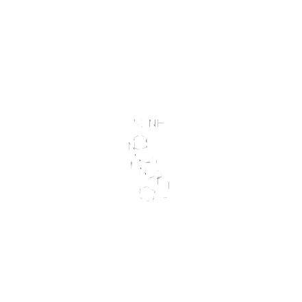 CCCCNC(=O)c1ccc(N2C=CCN(C(=O)c3ccccc3C(F)(F)F)C2=O)nc1